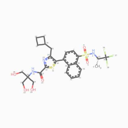 C[C@H](NS(=O)(=O)c1ccc(-c2sc(C(=O)NC(CO)(CO)CO)nc2CC2CCC2)c2ccccc12)C(F)(F)F